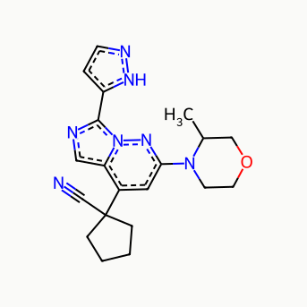 CC1COCCN1c1cc(C2(C#N)CCCC2)c2cnc(-c3ccn[nH]3)n2n1